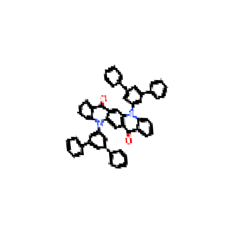 O=c1c2ccccc2n(-c2cc(-c3ccccc3)cc(-c3ccccc3)c2)c2cc3c(=O)c4ccccc4n(-c4cc(-c5ccccc5)cc(-c5ccccc5)c4)c3cc12